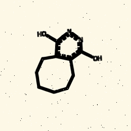 Oc1nnc(O)c2c1CCCCCC2